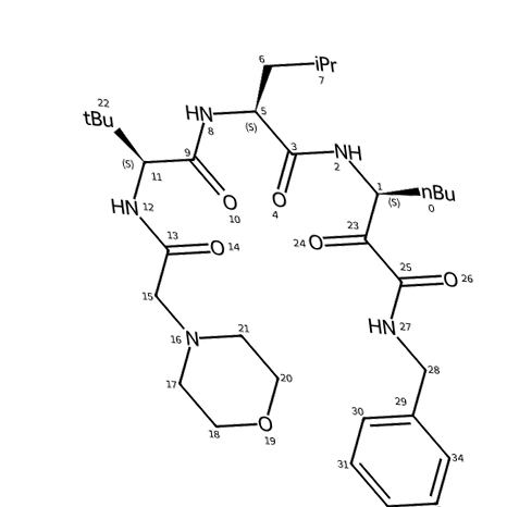 CCCC[C@H](NC(=O)[C@H](CC(C)C)NC(=O)[C@@H](NC(=O)CN1CCOCC1)C(C)(C)C)C(=O)C(=O)NCc1ccccc1